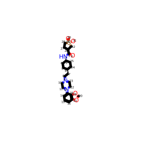 O=C(N[C@H]1CC[C@H](CCN2CCN(c3cccc4c3OCO4)CC2)CC1)C1CCS(=O)(=O)C1